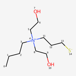 CCCC[N+](CCO)(CCO)CCC[S-]